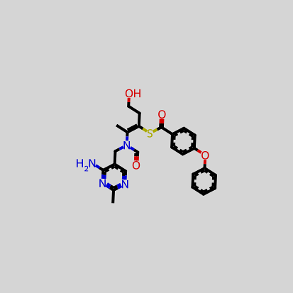 C/C(=C(\CCO)SC(=O)c1ccc(Oc2ccccc2)cc1)N(C=O)Cc1cnc(C)nc1N